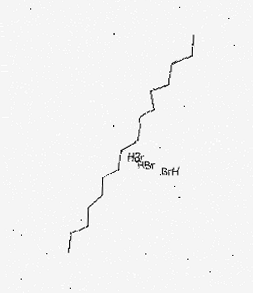 Br.Br.Br.CCCCCCCCCCCCCCCC